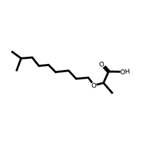 CC(C)CCCCCCCOC(C)C(=O)O